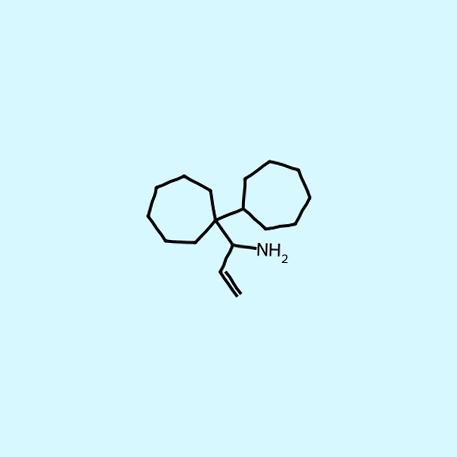 C=CC(N)C1(C2CCCCCC2)CCCCCC1